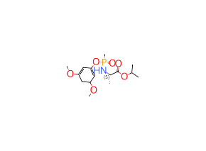 COC1=CC(OP(C)(=O)N[C@@H](C)C(=O)OC(C)C)=CC(OC)C1